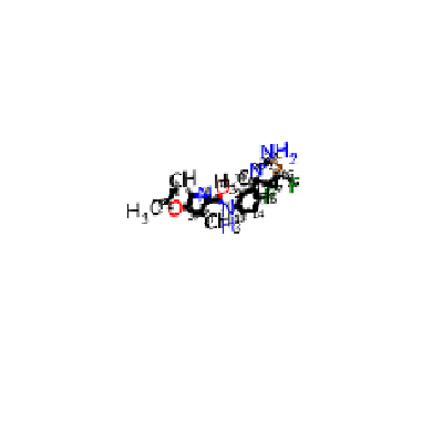 C#C[C@H](C)Oc1cnc(C(=O)Nc2ccc(F)c([C@@]3(C)N=C(N)S[C@@]4(CF)C[C@H]43)c2)c(C)c1